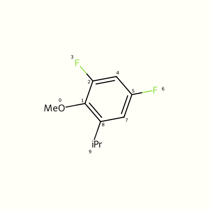 COc1c(F)cc(F)cc1C(C)C